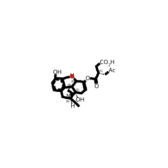 CC(=O)C[C@@H](CC(=O)O)C(=O)OC1=CC[C@@]2(O)[C@H]3Cc4ccc(O)c5c4[C@@]2(CCN3C)[C@H]1O5